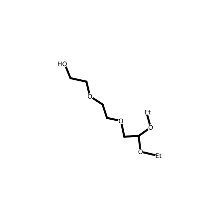 CCOC(COCCOCCO)OCC